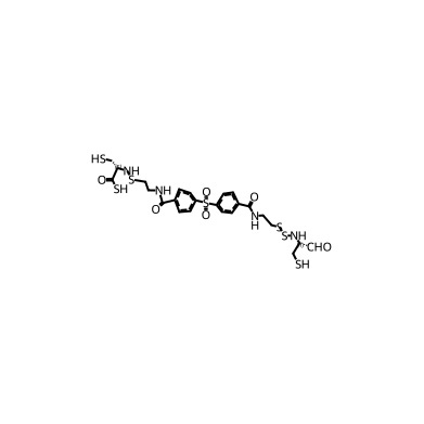 O=C[C@H](CS)NSSCCNC(=O)c1ccc(S(=O)(=O)c2ccc(C(=O)NCCSN[C@@H](CS)C(=O)S)cc2)cc1